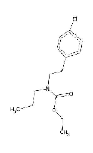 CCCN(CCc1ccc(Cl)cc1)C(=O)OCC